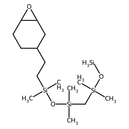 C[Si](C)(C[Si](C)(C)O[Si](C)(C)CCC1CCC2OC2C1)O[SiH3]